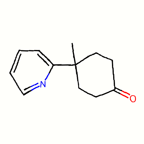 CC1(c2ccccn2)CCC(=O)CC1